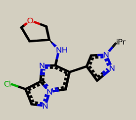 CC(C)n1cc(-c2cn3ncc(Cl)c3nc2N[C@H]2CCOC2)cn1